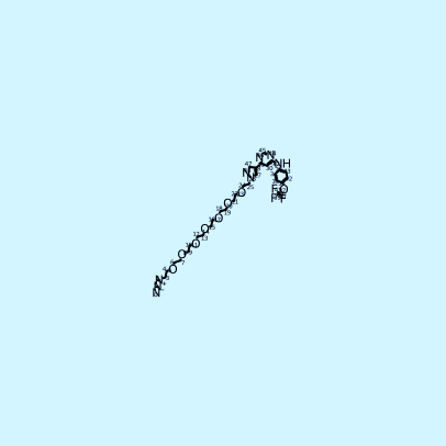 [N-]=[N+]=NCCOCCOCCOCCOCCOCCOCCOCCn1cc(-c2cc(Nc3ccc(OC(F)(F)F)cc3)ncn2)cn1